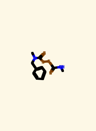 CNC(=S)SSC(=S)N(C)Cc1ccccc1